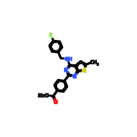 COC(=O)c1ccc(-c2nc(NCc3ccc(F)cc3)c3cc(C)sc3n2)cc1